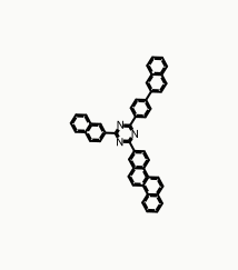 c1ccc2cc(-c3ccc(-c4nc(-c5ccc6ccccc6c5)nc(-c5ccc6c(ccc7c8ccccc8ccc67)c5)n4)cc3)ccc2c1